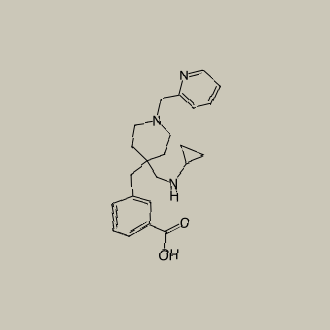 O=C(O)c1cccc(CC2(CNC3CC3)CCN(Cc3ccccn3)CC2)c1